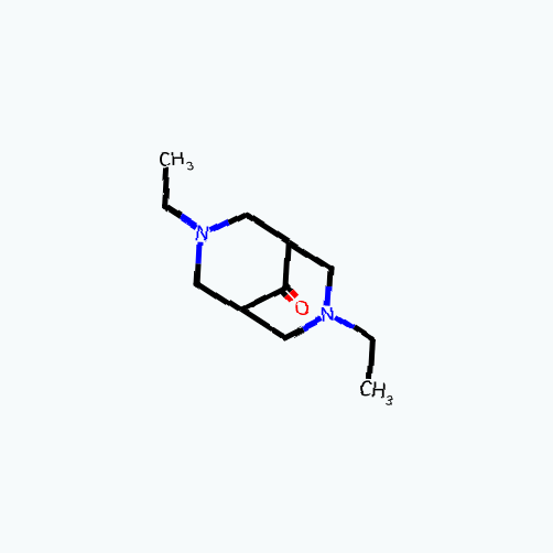 CCN1CC2CN(CC)CC(C1)C2=O